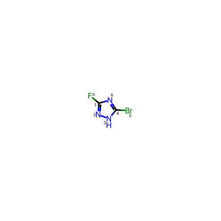 Fc1n[nH]c(Br)n1